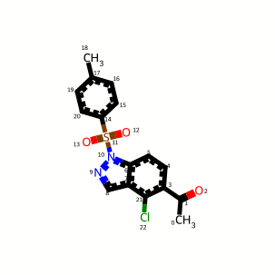 CC(=O)c1ccc2c(cnn2S(=O)(=O)c2ccc(C)cc2)c1Cl